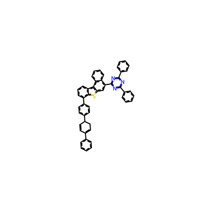 C1=CC(c2ccc(-c3cccc4c3sc3cc(-c5nc(-c6ccccc6)nc(-c6ccccc6)n5)c5ccccc5c34)cc2)CC=C1c1ccccc1